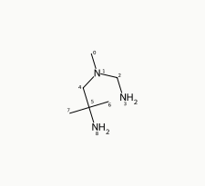 CN(CN)CC(C)(C)N